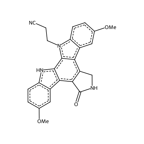 COc1ccc2[nH]c3c(c4c(c5c6cc(OC)ccc6n(CCC#N)c35)CNC4=O)c2c1